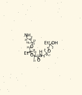 CCC(C)(O)COC(C)(C)CNC(=O)C(C)(C)OC(C)(CC)COC(C)(C)CCN